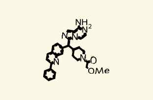 COCC(=O)N1CCC(C(c2ccc3ccc(-c4ccccc4)nc3c2)c2ncc3c(N)nccn23)CC1